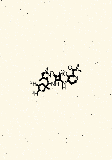 [2H]C1CC(C)([C@@H](Nc2c(Nc3ccnc(C(=O)N(C)C)c3O)c(=O)c2=O)c2nn(C)cc2C)CC1[2H]